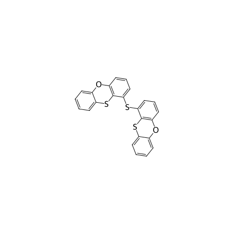 c1ccc2c(c1)Oc1cccc(Sc3cccc4c3Sc3ccccc3O4)c1S2